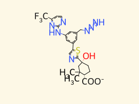 CC1(C)C[C@@](O)(c2ncc(-c3cc(CN=[N+]=N)cc(Nc4nccc(C(F)(F)F)n4)c3)s2)CC[C@@H]1C(=O)[O-]